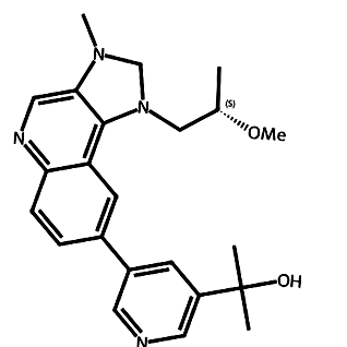 CO[C@@H](C)CN1CN(C)c2cnc3ccc(-c4cncc(C(C)(C)O)c4)cc3c21